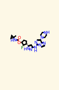 CC1(NC(=O)O[C@@H]2CC[C@H](c3cc(Nc4ncc(N5CCNCC5)c5nccn45)n[nH]3)[C@H]2F)CC1